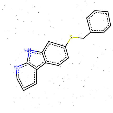 c1ccc(CSc2ccc3c(c2)[nH]c2ncccc23)cc1